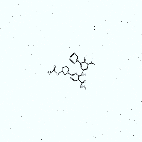 CC(C)n1cc(Nc2nc(N3CCC[C@H](OC(N)=O)C3)ncc2C(N)=O)cc(-c2ccccc2)c1=O